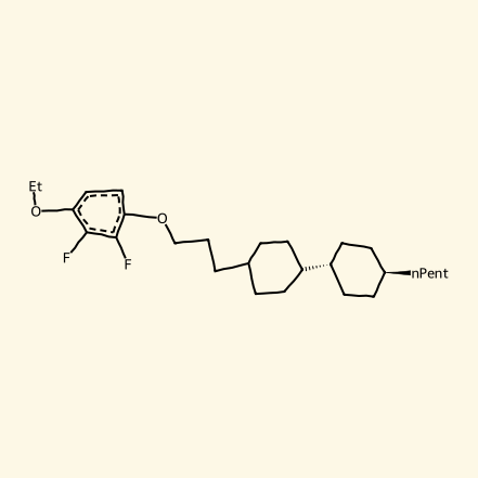 CCCCC[C@H]1CC[C@H](C2CCC(CCCOc3ccc(OCC)c(F)c3F)CC2)CC1